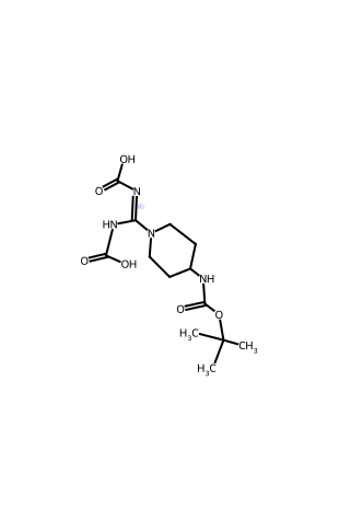 CC(C)(C)OC(=O)NC1CCN(/C(=N/C(=O)O)NC(=O)O)CC1